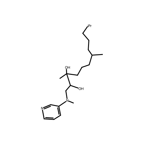 CC(C)CCCC(C)CCCC(C)(O)C(O)CN(C)c1cccnc1